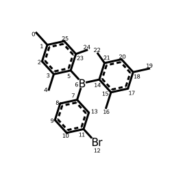 Cc1cc(C)c(B(c2cccc(Br)c2)c2c(C)cc(C)cc2C)c(C)c1